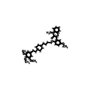 COc1ccc(OCCCCN2CCN(CCc3cc(OC)c(OC)c(OC)c3)CC2)c(C2Sc3ccccc3N(C)C2=O)c1